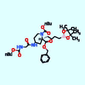 CCCCOC(=O)NCC(=O)NC1CCN(C(=O)OCCCC)[C@@](CCCCB2OC(C)(C)C(C)(C)O2)(C(=O)OCc2ccccc2)C1